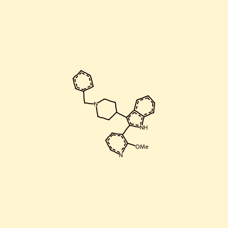 COc1ncccc1-c1[nH]c2ccccc2c1C1CCN(Cc2ccccc2)CC1